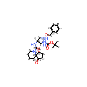 CC(C)(C)OC(=O)NC[C@](C)(CNOCc1ccccc1)NC(=O)N1CCCCC12C(=O)CCC2=O